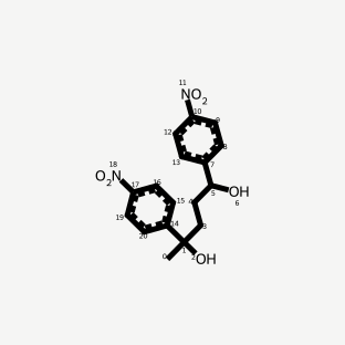 CC(O)(CCC(O)c1ccc([N+](=O)[O-])cc1)c1ccc([N+](=O)[O-])cc1